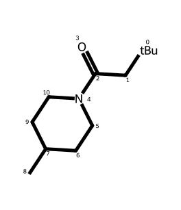 [CH2]C(C)(C)CC(=O)N1CCC(C)CC1